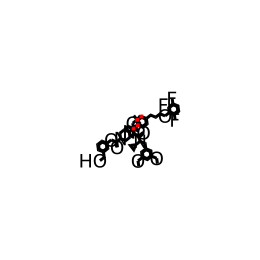 COc1cc(CN(C(=O)C2=C(c3ccc(CCCOc4c(F)ccc(F)c4F)cc3)CC3CN(C(=O)Oc4cccc(CO)c4)CC2N3C(=O)OC(C)(C)C)C2CC2)cc(OC)c1